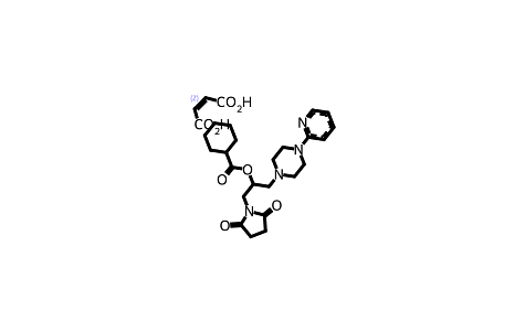 O=C(O)/C=C\C(=O)O.O=C(OC(CN1CCN(c2ccccn2)CC1)CN1C(=O)CCC1=O)C1CCCCC1